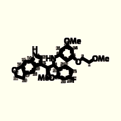 COCCOc1cc(NC(C(=O)c2c[nH]c3cc4c(cc23)CCO4)c2ccc(F)cc2OC)cc(OC)c1